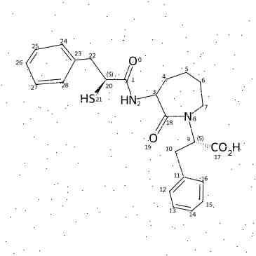 O=C(NC1CCCCN([C@@H](Cc2ccccc2)C(=O)O)C1=O)[C@@H](S)Cc1ccccc1